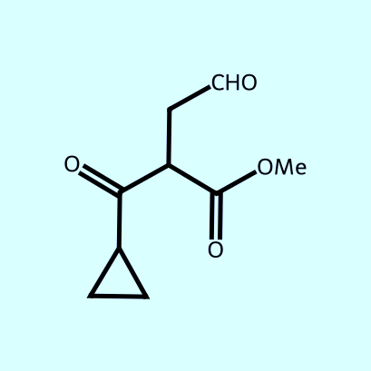 COC(=O)C(CC=O)C(=O)C1CC1